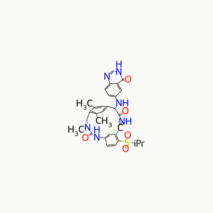 Cc1cc2cc(C)c1CN(C)C(=O)Nc1ccc(S(=O)(=O)C(C)C)c(c1)CNC(=O)C2Nc1ccc2nc[nH]c(=O)c2c1